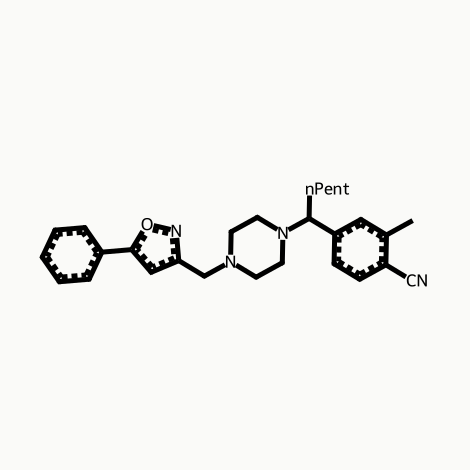 CCCCCC(c1ccc(C#N)c(C)c1)N1CCN(Cc2cc(-c3ccccc3)on2)CC1